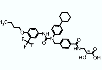 CCCCOc1ccc(NC(=O)N(Cc2ccc(C(=O)NC[C@@H](O)C(=O)O)cc2)c2ccc(C3CCCCC3)cc2)cc1C(F)(F)F